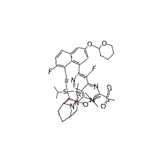 CC(C)[Si](C#Cc1c(F)ccc2cc(OC3CCCCO3)cc(-c3ncc4c(N5CC6CCC(C5)N6C(=O)OC(C)(C)C)nc(S(C)(=O)=O)nc4c3F)c12)(C(C)C)C(C)C